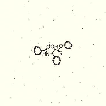 O=C(N[C@@H](c1ccccc1)[C@H](O)C(=S)Oc1ccccc1)c1ccccc1